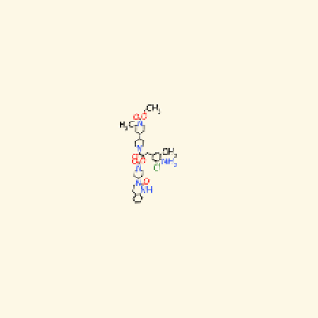 CCOC(=O)N1CCC(C2CCN(C(=O)[C@@H](Cc3cc(C)c(N)c(Cl)c3)OC(=O)N3CCC(N4CCc5ccccc5NC4=O)CC3)CC2)CC1C